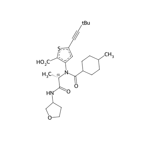 CC1CCC(C(=O)N(c2cc(C#CC(C)(C)C)sc2C(=O)O)[C@@H](C)C(=O)NC2CCOC2)CC1